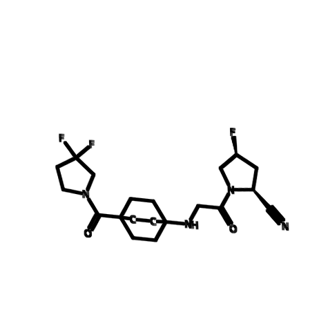 N#C[C@@H]1C[C@H](F)CN1C(=O)CNC12CCC(C(=O)N3CCC(F)(F)C3)(CC1)CC2